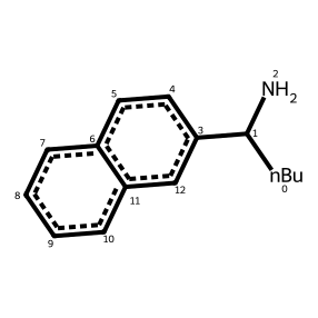 CCCCC(N)c1ccc2ccccc2c1